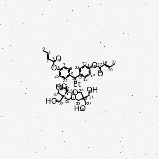 CC=CC(=O)Oc1ccc(C(CC)c2ccc(OC(=O)C=CC)cc2)cc1.OCC(CO)(CO)COCC(CO)(CO)CO